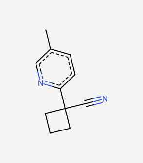 Cc1ccc(C2(C#N)CCC2)nc1